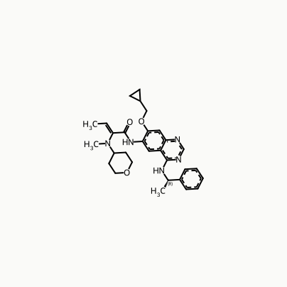 CC=C(C(=O)Nc1cc2c(N[C@H](C)c3ccccc3)ncnc2cc1OCC1CC1)N(C)C1CCOCC1